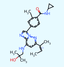 C/C=C(/C)c1cc(NCC(C)(C)O)c2ncc(-c3ccc(C(=O)NC4CC4)c(C)c3)n2n1